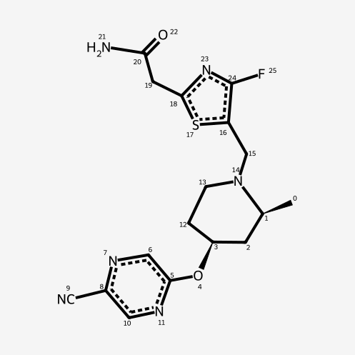 C[C@H]1C[C@@H](Oc2cnc(C#N)cn2)CCN1Cc1sc(CC(N)=O)nc1F